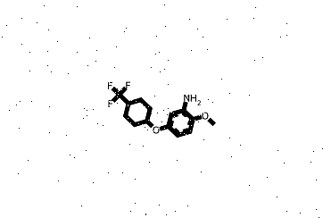 COc1ccc(OC2CCC(C(F)(F)F)CC2)cc1N